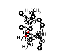 CC(=O)Oc1ccc(C[C@H](NC(=O)[C@H](CCC(=O)OCc2ccccc2)NC(=O)OCc2cccc(-c3cccc(COC(=O)[C@H](Cc4ccc(O)c(OCc5ccccc5)c4)NC(=O)[C@H](Cc4ccc5c(c4)OC(C)(C)O5)NC(=O)OCc4ccccc4)c3)c2)C(=O)OCc2ccccc2)cc1OC(C)=O